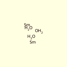 O.O.O.[Sm].[Sm]